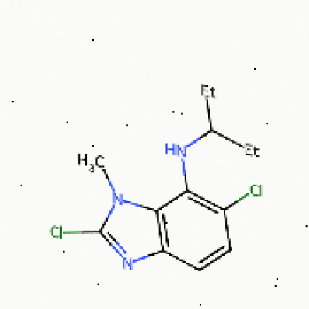 CCC(CC)Nc1c(Cl)ccc2nc(Cl)n(C)c12